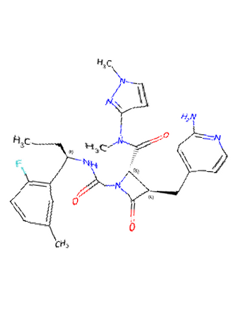 CC[C@@H](NC(=O)N1C(=O)[C@H](Cc2ccnc(N)c2)[C@H]1C(=O)N(C)c1ccn(C)n1)c1cc(C)ccc1F